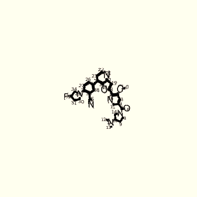 COc1cc(C(=O)N2CC[C@@H](N(C)C)C2)cnc1-c1cc2nccc(-c3ccc(N4CC[C@@H](F)C4)c(C#N)c3)c2o1